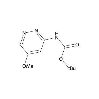 COc1cnnc(NC(=O)OC(C)(C)C)c1